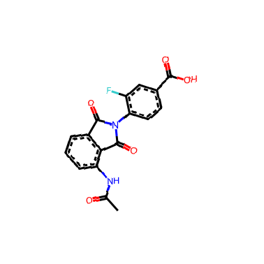 CC(=O)Nc1cccc2c1C(=O)N(c1ccc(C(=O)O)cc1F)C2=O